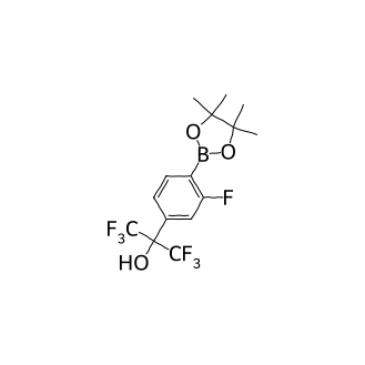 CC1(C)OB(c2ccc(C(O)(C(F)(F)F)C(F)(F)F)cc2F)OC1(C)C